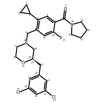 O=C(c1cc(C2CC2)c(CN2CCO[C@H](Cc3cc(Cl)cc(Cl)c3)C2)cc1F)N1CCCC1